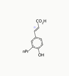 CCCc1cc(/C=C/C(=O)O)ccc1O